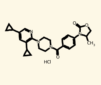 CC1COC(=O)N1c1ccc(C(=O)N2CCN(c3ncc(C4CC4)cc3C3CC3)CC2)cc1.Cl